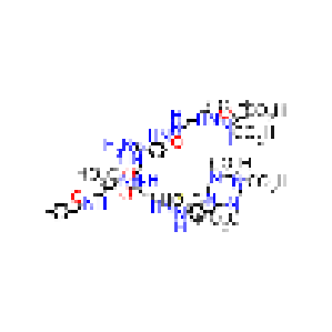 Cc1ccc(CC(=O)NCCCCC(NC(=O)C(CCCCNC(=S)Nc2ccc(CC3CN(CC(=O)O)CCN(CC(=O)O)CCN(CC(=O)O)CCN3CC(=O)O)cc2)NC(=O)CN/C(=C\N)c2cccc(NC(=O)NCCCCC(NC(=O)NC(CCC(=O)O)C(=O)O)C(=O)O)c2)C(=O)O)cc1